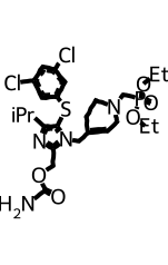 CCOP(=O)(CN1CC=C(Cn2c(COC(N)=O)nc(C(C)C)c2Sc2cc(Cl)cc(Cl)c2)CC1)OCC